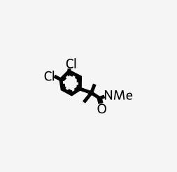 CNC(=O)C(C)(C)c1ccc(Cl)c(Cl)c1